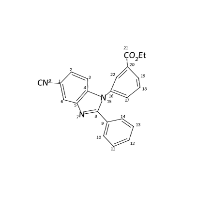 [C-]#[N+]c1ccc2c(c1)nc(-c1ccccc1)n2-c1cccc(C(=O)OCC)c1